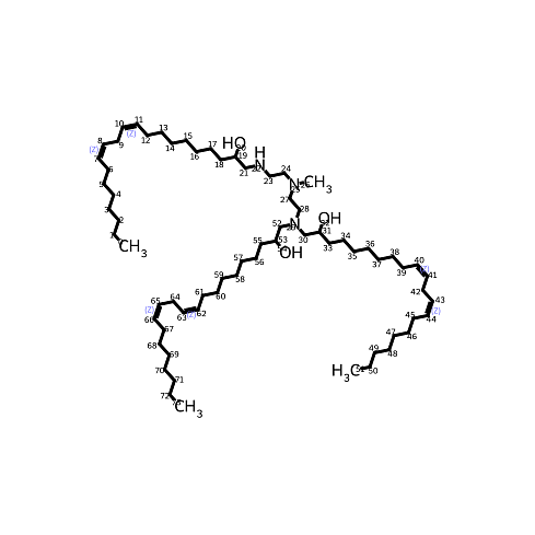 CCCCCCC/C=C\C/C=C\CCCCCCCC(O)CNCCN(C)CCN(CC(O)CCCCCCC/C=C\C/C=C\CCCCCCC)CC(O)CCCCCCC/C=C\C/C=C\CCCCCCC